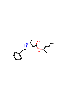 CCCCC(C)OC(=O)CC(C)NCCc1ccccc1